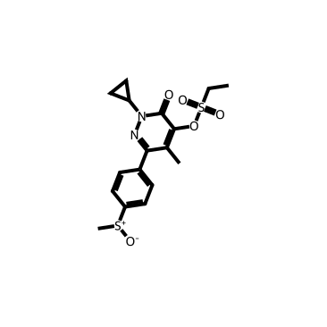 CCS(=O)(=O)Oc1c(C)c(-c2ccc([S+](C)[O-])cc2)nn(C2CC2)c1=O